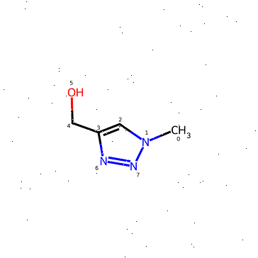 Cn1[c]c(CO)nn1